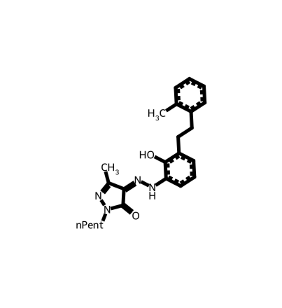 CCCCCN1N=C(C)/C(=N/Nc2cccc(CCc3ccccc3C)c2O)C1=O